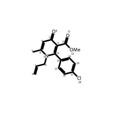 C=CCn1c(C)cc(=O)c(C(=O)OC)c1-c1ccc(Cl)cc1